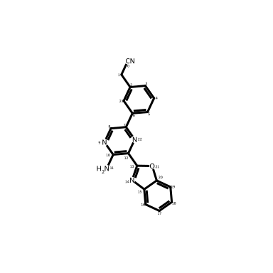 N#CCc1cccc(-c2cnc(N)c(-c3nc4ccccc4o3)n2)c1